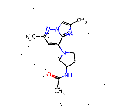 CC(=O)N[C@@H]1CCN(c2cc(C)nn3cc(C)nc23)C1